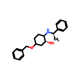 C[C@H](N[C@@H]1CCC(OCc2ccccc2)C[C@H]1O)c1ccccc1